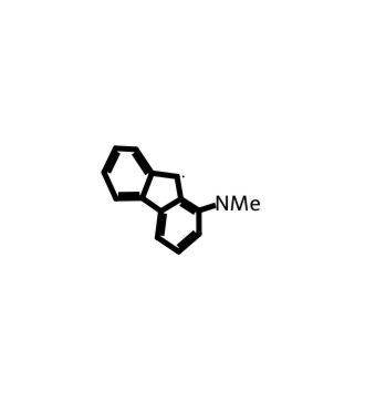 CNc1cccc2c1[CH]c1ccccc1-2